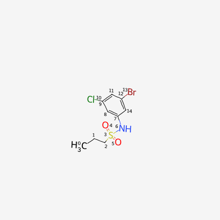 CCCS(=O)(=O)Nc1cc(Cl)cc(Br)c1